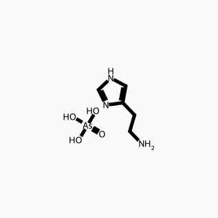 NCCc1c[nH]cn1.O=[As](O)(O)O